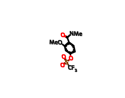 CNC(=O)c1ccc(OS(=O)(=O)C(F)(F)F)cc1OC